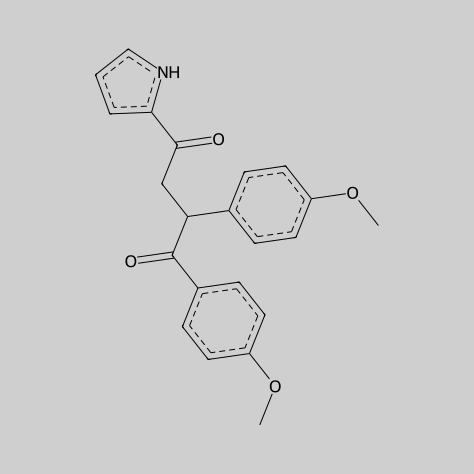 COc1ccc(C(=O)C(CC(=O)c2ccc[nH]2)c2ccc(OC)cc2)cc1